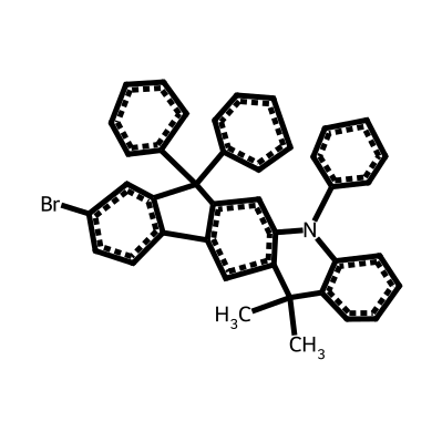 CC1(C)c2ccccc2N(c2ccccc2)c2cc3c(cc21)-c1ccc(Br)cc1C3(c1ccccc1)c1ccccc1